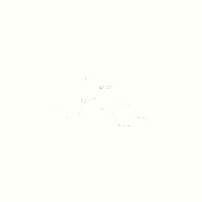 O=C(O)c1nc(CO)sc1-c1ccc(F)cc1